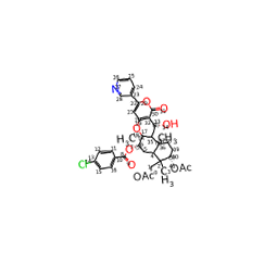 CC(=O)OCC1(C)C2C[C@H](OC(=O)c3ccc(Cl)cc3)[C@@]3(C)Oc4cc(-c5cccnc5)oc(=O)c4[C@H](O)C3[C@@]2(C)CC[C@@H]1OC(C)=O